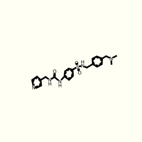 CN(C)Cc1ccc(CNS(=O)(=O)c2ccc(NC(=O)NCc3ccncc3)cc2)cc1